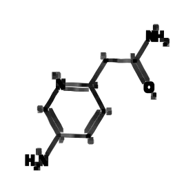 NC(=O)Cc1ccc(N)cn1